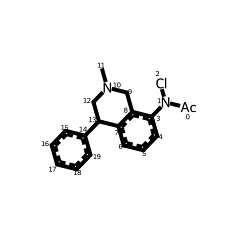 CC(=O)N(Cl)c1cccc2c1CN(C)CC2c1ccccc1